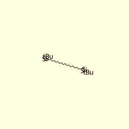 CC(C)(C)[Si](C)(C)SCCCCCCCCCCCCCCCCCCS[Si](C)(C)C(C)(C)C